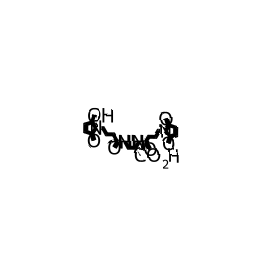 O=C(CCCN1C(=O)C=CC1O)NC[C@H](NC(=O)CCCN1C(=O)C=CC1=O)C(=O)O